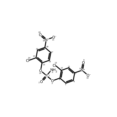 NP(=O)(Oc1ccc([N+](=O)[O-])cc1Cl)Oc1ccc([N+](=O)[O-])cc1Cl